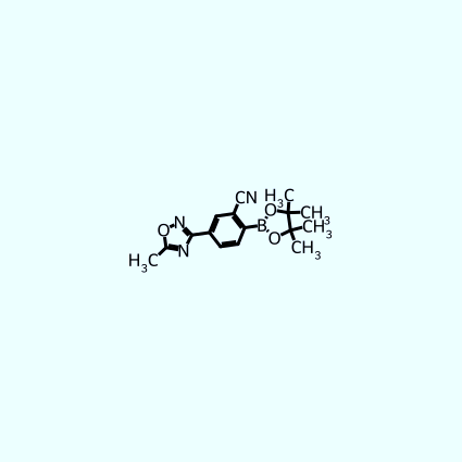 Cc1nc(-c2ccc(B3OC(C)(C)C(C)(C)O3)c(C#N)c2)no1